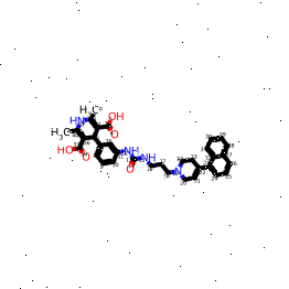 CC1=C(C(=O)O)C(c2cccc(NC(=O)NCCCN3CC=C(c4cccc5ccccc45)CC3)c2)C(C(=O)O)=C(C)N1